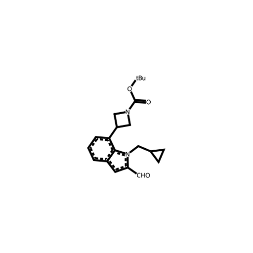 CC(C)(C)OC(=O)N1CC(c2cccc3cc(C=O)n(CC4CC4)c23)C1